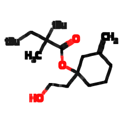 C=C1CCCC(CCO)(OC(=O)C(C)(CC(C)(C)C)C(C)(C)C)C1